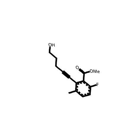 COC(=O)c1c(F)ccc(C)c1C#CCCCO